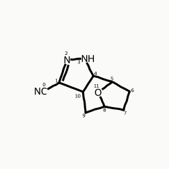 N#CC1=NNC2C3CCC(CC12)O3